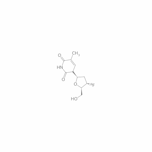 CC1=CC([C@H]2C[C@@H]([18F])[C@@H](CO)O2)C(=O)NC1=O